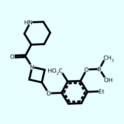 CCc1ccc(OC2CN(C(=O)C3CCCNC3)C2)c(C(=O)O)c1OB(C)O